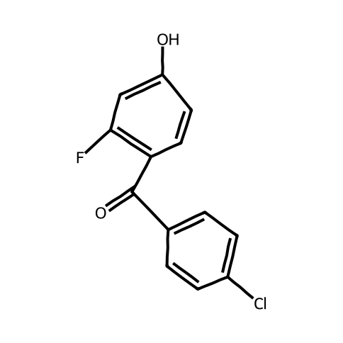 O=C(c1ccc(Cl)cc1)c1ccc(O)cc1F